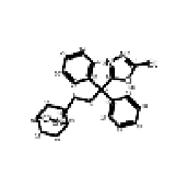 CCc1nnc(C(CCN2CC3CCC2CC3)(c2ccccc2)c2ccccc2)o1